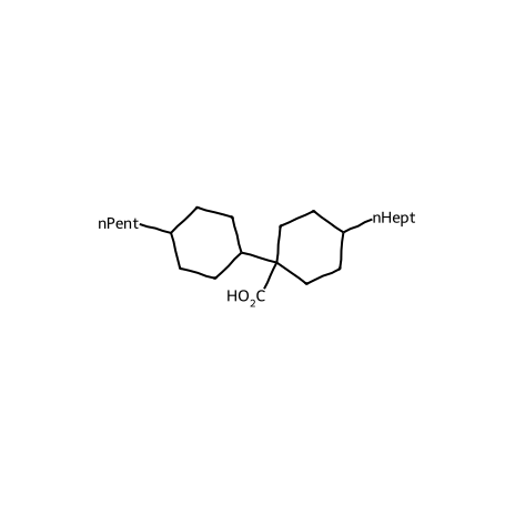 CCCCCCCC1CCC(C(=O)O)(C2CCC(CCCCC)CC2)CC1